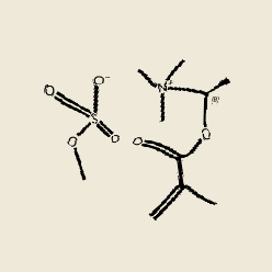 C=C(C)C(=O)O[C@H](C)[N+](C)(C)C.COS(=O)(=O)[O-]